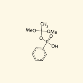 COC(C)(OC)OP(=O)(O)c1ccccc1